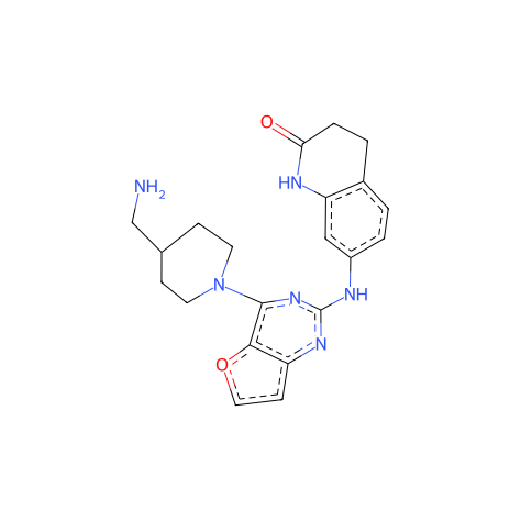 NCC1CCN(c2nc(Nc3ccc4c(c3)NC(=O)CC4)nc3ccoc23)CC1